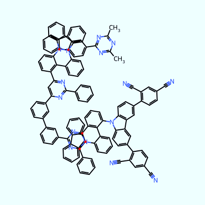 Cc1nc(C)nc(-c2ccc3c(c2)c2ccccc2n3-c2cccc(-c3cc(-c4cccc(-c5cccc(-c6nc(-c7ccccc7)cc(-c7cccc(-n8c9ccc(-c%10ccc(C#N)cc%10C#N)cc9c9cc(-c%10ccc(C#N)cc%10C#N)ccc98)c7-c7ccccc7-n7c8ccccc8c8ccccc87)n6)c5)c4)nc(-c4ccccc4)n3)c2-c2ccccc2-n2c3ccccc3c3ccccc32)n1